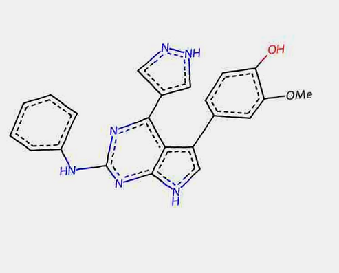 COc1cc(-c2c[nH]c3nc(Nc4ccccc4)nc(-c4cn[nH]c4)c23)ccc1O